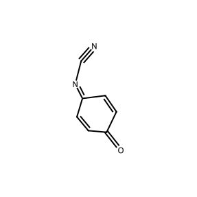 N#CN=C1C=CC(=O)C=C1